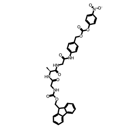 C[C@H](NC(=O)CNC(=O)OCC1c2ccccc2-c2ccccc21)C(=O)NCC(=O)Nc1ccc(COC(=O)Oc2ccc([N+](=O)[O-])cc2)cc1